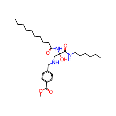 CCCCCCCCCC(=O)NC(O)(CNCc1ccc(C(=O)OC)cc1)C(=O)NCCCCCC